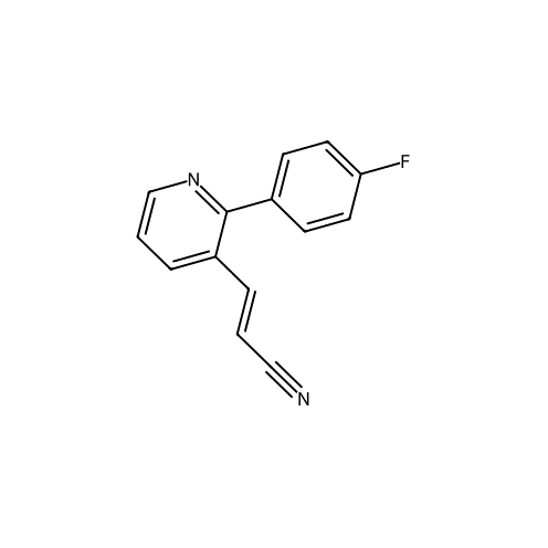 N#CC=Cc1cccnc1-c1ccc(F)cc1